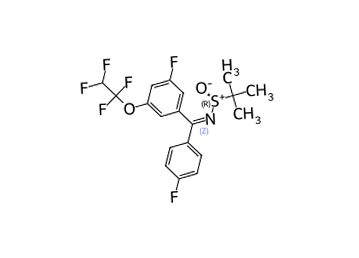 CC(C)(C)[S@+]([O-])/N=C(/c1ccc(F)cc1)c1cc(F)cc(OC(F)(F)C(F)F)c1